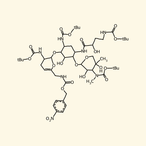 CN(C(=O)OC(C)(C)C)C1C(O)C(OC2C(NC(=O)C(O)CCNC(=O)OC(C)(C)C)CC(NC(=O)OC(C)(C)C)C(OC3OC(CNC(=O)OCc4ccc([N+](=O)[O-])cc4)=CCC3NC(=O)OC(C)(C)C)C2O)OCC1(C)O